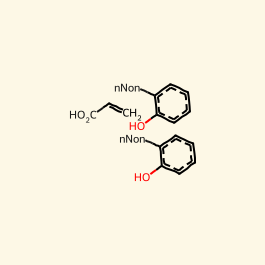 C=CC(=O)O.CCCCCCCCCc1ccccc1O.CCCCCCCCCc1ccccc1O